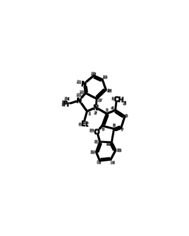 CCC1N(c2c(C)ccc3c2oc2ccccc23)c2cccnc2N1C(C)C